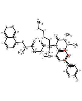 C[C@@H](C(=O)N(c1ccc(N)cc1)[C@@]([C]=O)(CCCCN)C(=O)[C@H](CO)NC(=O)[C@@H](N)Cc1cccc2ccccc12)N(C)C(=O)CCc1ccc(F)cc1